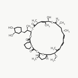 C=C1C[C@H](O)/C(C)=C/[C@@H](C)C(=O)C[C@@H]([C@H](C)C[C@@H]2CC[C@@H](O)[C@H](O)C2)OC(=O)[C@@H]2CCCCN2C(=O)C[C@]2(O)O[C@@H](CC[C@H]2C)C[C@H](OC)/C(C)=C/C=C/C=C/[C@@H](C)C[C@H]1C